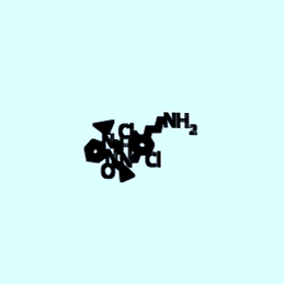 NCCCc1cc(Cl)c(CNC2(C(=O)N3CCN(C4CC4)c4ccccc43)CC2)cc1Cl